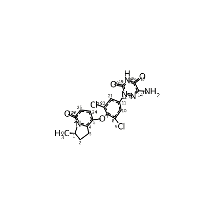 C[C@@H]1CCc2c(Oc3c(Cl)cc(-n4nc(N)c(=O)[nH]c4=O)cc3Cl)ccc(=O)n21